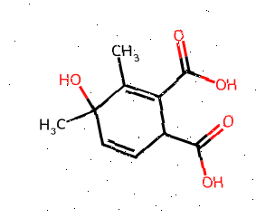 CC1=C(C(=O)O)C(C(=O)O)C=CC1(C)O